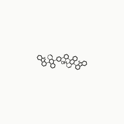 Cc1c(-c2ccc(-c3c4c(c(-c5cccc6c5sc5ccccc56)c5ccccc35)CCC=C4)cc2O)cccc1-c1c2c(c(-c3cccc4c3sc3ccccc34)c3ccccc13)C=CCC2